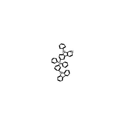 c1ccc(-n2c3ccc([Si](c4ccccc4)(c4ccccc4)c4cccc(-n5c6ccccc6c6ccccc65)c4)cc3c3ccncc32)cc1